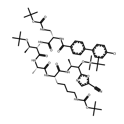 C[C@H](NC(=O)[C@@H](NC(=O)[C@H](CNC(=O)OC(C)(C)C)NC(=O)c1ccc(-c2ccc(Cl)cc2)cc1)[C@@H](C)OC(C)(C)C)C(=O)N[C@@H](CCCCNC(=O)OC(C)(C)C)C(=O)N[C@@H](C)C(O[Si](C)(C)C(C)(C)C)c1ncc(C#N)o1